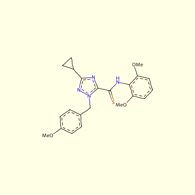 COc1ccc(Cn2nc(C3CC3)nc2C(=S)Nc2c(OC)cccc2OC)cc1